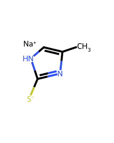 Cc1c[nH]c([S-])n1.[Na+]